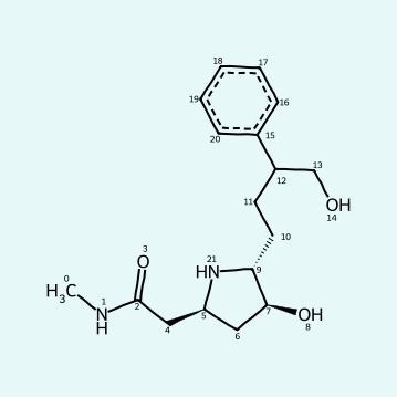 CNC(=O)C[C@@H]1C[C@H](O)[C@@H](CCC(CO)c2ccccc2)N1